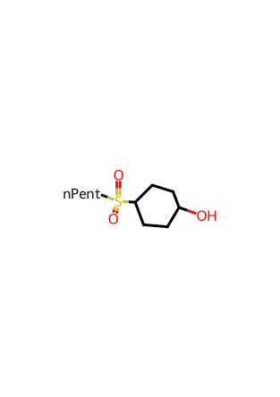 CCCCCS(=O)(=O)C1CCC(O)CC1